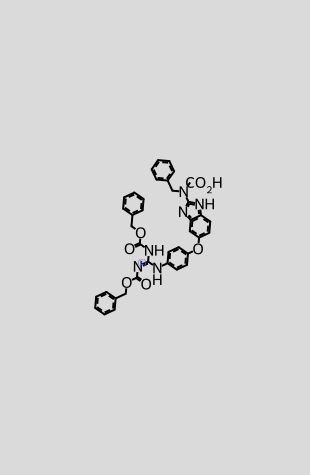 O=C(/N=C(/NC(=O)OCc1ccccc1)Nc1ccc(Oc2ccc3[nH]c(N(Cc4ccccc4)C(=O)O)nc3c2)cc1)OCc1ccccc1